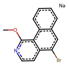 COc1nccc2c(Br)cc3ccccc3c12.[Na]